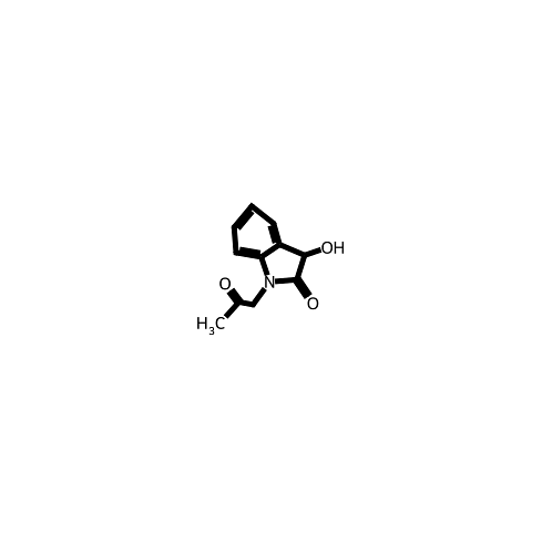 CC(=O)CN1C(=O)C(O)c2ccccc21